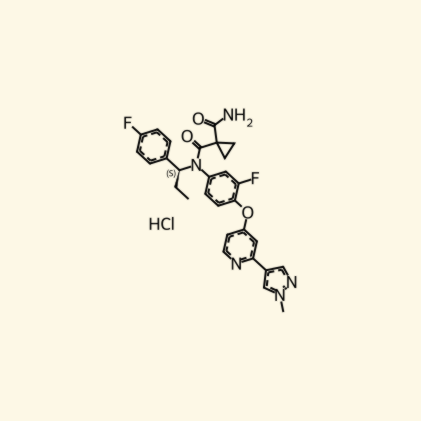 CC[C@@H](c1ccc(F)cc1)N(C(=O)C1(C(N)=O)CC1)c1ccc(Oc2ccnc(-c3cnn(C)c3)c2)c(F)c1.Cl